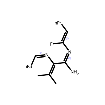 CCC/C=C(F)/N=C(/N)C(/N=C\C(C)CC)=C(C)C